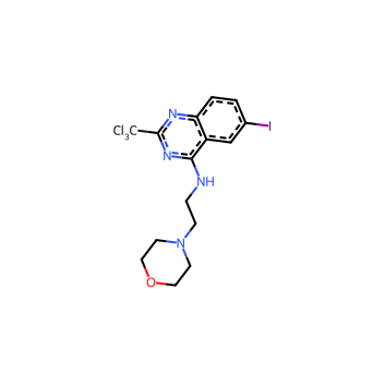 ClC(Cl)(Cl)c1nc(NCCN2CCOCC2)c2cc(I)ccc2n1